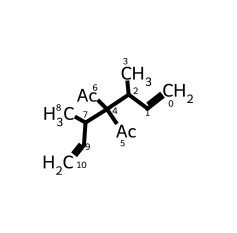 C=CC(C)C(C(C)=O)(C(C)=O)C(C)C=C